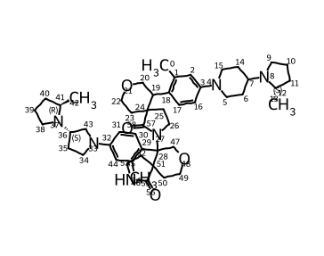 Cc1cc(N2CCC(N3CCC[C@@H]3C)CC2)ccc1C1COCCC12CCN(C1(c3ccc(N4CC[C@H](N5CCC[C@H]5C)C4)cc3C)COCCC13CCNC3=O)C2=O